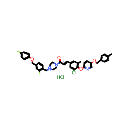 Cc1ccc(COc2ccc(Oc3c(C)cc(/C=C/C(=O)N4CCN(Cc5ccc(COc6ccc(F)cc6)cc5F)CC4)cc3Cl)nc2)cc1.Cl